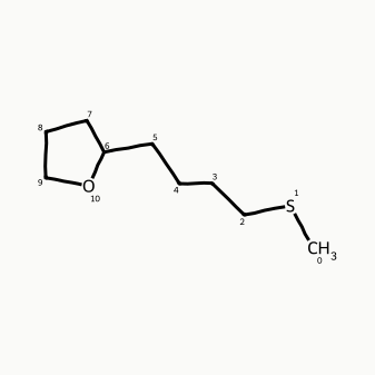 CSCCCCC1CCCO1